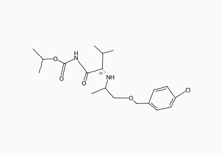 CC(COCc1ccc(Cl)cc1)N[C@H](C(=O)NC(=O)OC(C)C)C(C)C